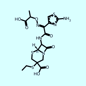 CCSC1(C(=O)O)CS[C@@H]2C(NC(=O)C(=NOC(C)C(=O)O)c3csc(N)n3)C(=O)N2C1